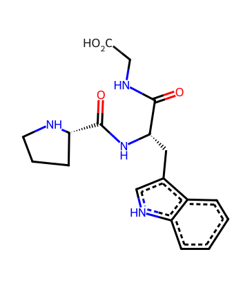 O=C(O)CNC(=O)[C@H](Cc1c[nH]c2ccccc12)NC(=O)[C@@H]1CCCN1